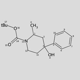 CC1CC(O)(c2ccccc2)CCN1C(=O)OC(C)(C)C